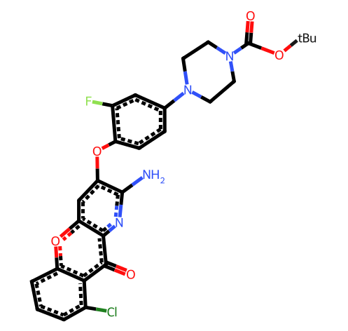 CC(C)(C)OC(=O)N1CCN(c2ccc(Oc3cc4oc5cccc(Cl)c5c(=O)c4nc3N)c(F)c2)CC1